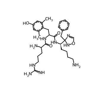 Cc1cc(O)cc(C)c1CC(NC(=O)C(N)CCCNC(=N)N)C(=O)N[C@H](CCCCN)C1(Cc2ccccc2)N=CON1